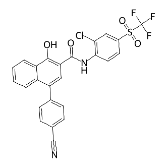 N#Cc1ccc(-c2cc(C(=O)Nc3ccc(S(=O)(=O)C(F)(F)F)cc3Cl)c(O)c3ccccc23)cc1